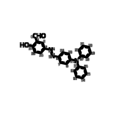 O=Cc1cc(N=Nc2ccc(N(c3ccccc3)c3ccccc3)cc2)ccc1O